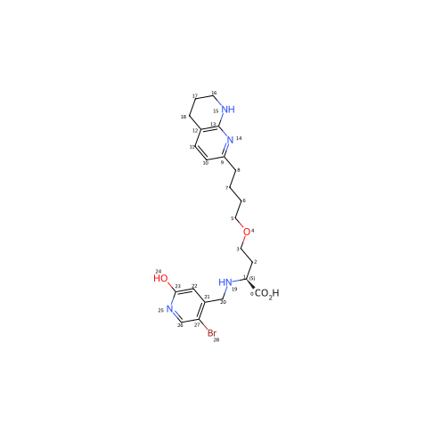 O=C(O)[C@H](CCOCCCCc1ccc2c(n1)NCCC2)NCc1cc(O)ncc1Br